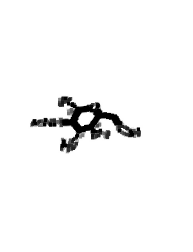 CC(=O)NC1[C@H](C(C)C)OC(CO)[C@@H](O)[C@@H]1O